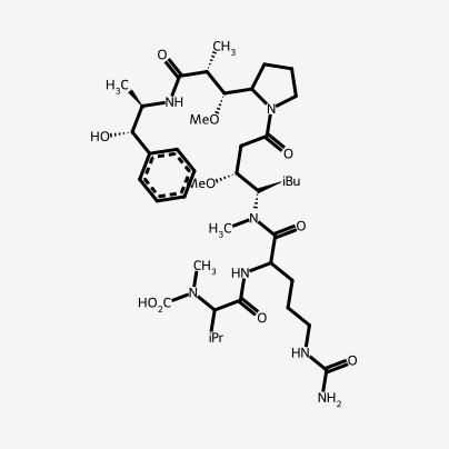 CC[C@H](C)[C@@H]([C@@H](CC(=O)N1CCCC1[C@H](OC)[C@@H](C)C(=O)N[C@H](C)[C@@H](O)c1ccccc1)OC)N(C)C(=O)C(CCCNC(N)=O)NC(=O)C(C(C)C)N(C)C(=O)O